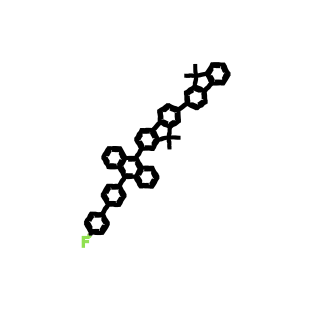 CC1(C)c2ccccc2-c2ccc(-c3ccc4c(c3)C(C)(C)c3cc(-c5c6ccccc6c(-c6ccc(-c7ccc(F)cc7)cc6)c6ccccc56)ccc3-4)cc21